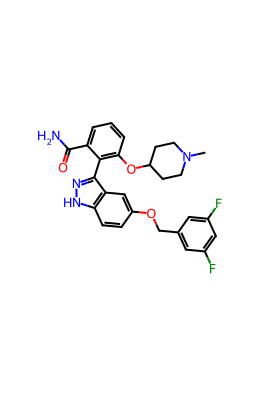 CN1CCC(Oc2cccc(C(N)=O)c2-c2n[nH]c3ccc(OCc4cc(F)cc(F)c4)cc23)CC1